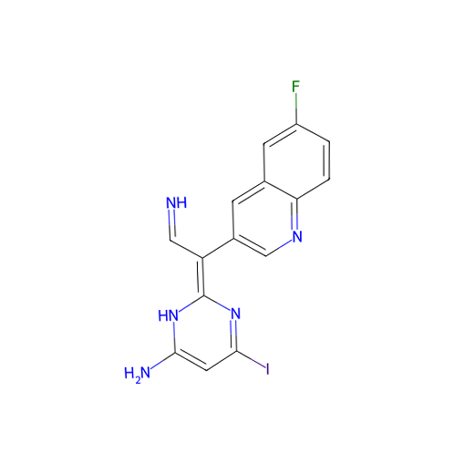 N=C/C(=C1/N=C(I)C=C(N)N1)c1cnc2ccc(F)cc2c1